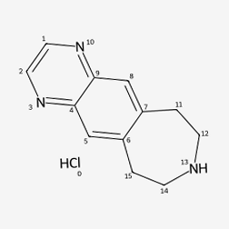 Cl.c1cnc2cc3c(cc2n1)CCNCC3